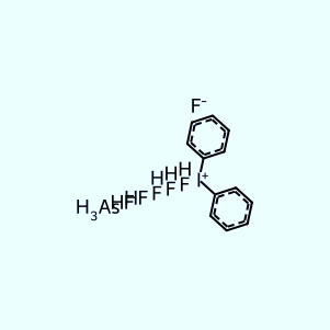 F.F.F.F.F.[AsH3].[F-].c1ccc([I+]c2ccccc2)cc1